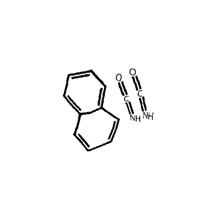 N=C=O.N=C=O.c1ccc2ccccc2c1